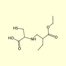 CCOC(=O)C(CC)CNC(CS)C(=O)O